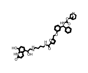 O=C(N[C@@H](c1ccccc1)c1cccc(OCc2ccc(C(=O)NCCCCNCC(O)c3ccc(O)c4[nH]c(=O)ccc34)o2)c1)OC1CN2CCC1CC2